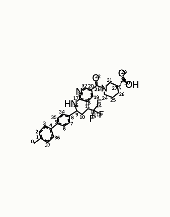 Cc1ccc(-c2ccc(C(CCC(F)(F)F)Nc3ccc(C(=O)N4CCC[C@@H](C(=O)O)C4)cn3)cc2)cc1